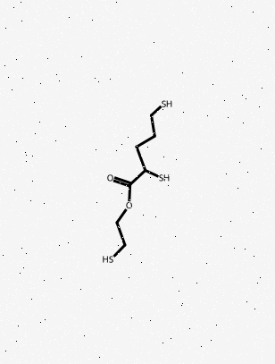 O=C(OCCS)C(S)CCCS